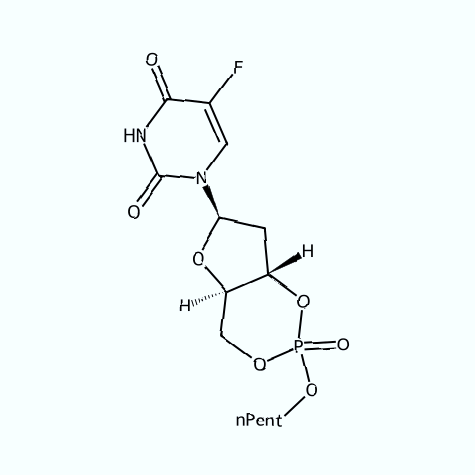 CCCCCOP1(=O)OC[C@H]2O[C@@H](n3cc(F)c(=O)[nH]c3=O)C[C@@H]2O1